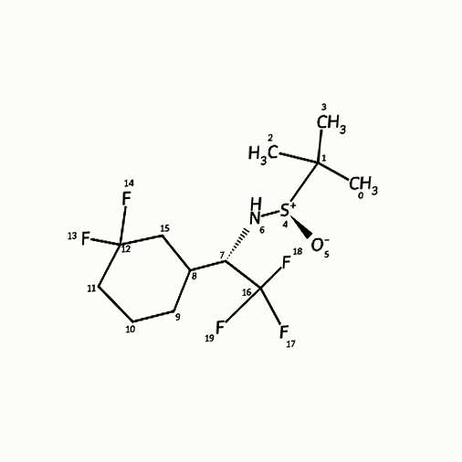 CC(C)(C)[S@@+]([O-])N[C@@H](C1CCCC(F)(F)C1)C(F)(F)F